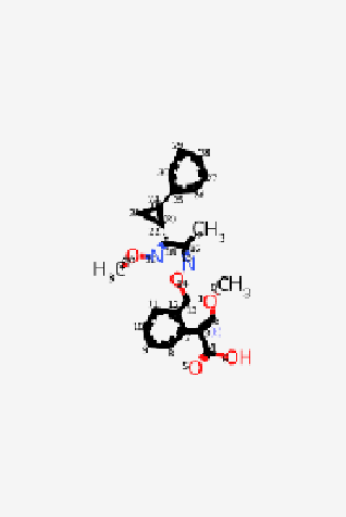 CO/C=C(/C(=O)O)c1ccccc1CON=C(C)C(=NOC)[C@@H]1C[C@H]1c1ccccc1